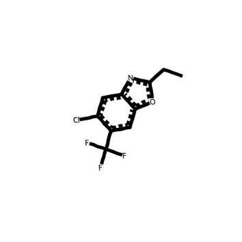 CCc1nc2cc(Cl)c(C(F)(F)F)cc2o1